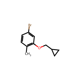 Cc1ccc(Br)cc1OCC1CC1